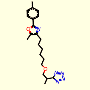 Cc1ccc(-c2nc(CCCCCCOCC(C)C3N=NN=N3)c(C)o2)cc1